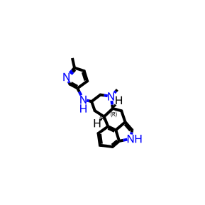 Cc1ccc(NC2C[C@@H]3c4cccc5[nH]cc(c45)C[C@H]3N(C)C2)cn1